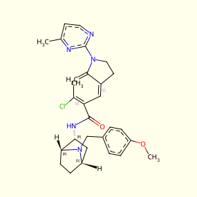 C=C1/C(=C\C(C(=O)N[C@@H]2C[C@@H]3CC[C@H]2N3Cc2ccc(OC)cc2)=C(/C)Cl)CCN1c1nccc(C)n1